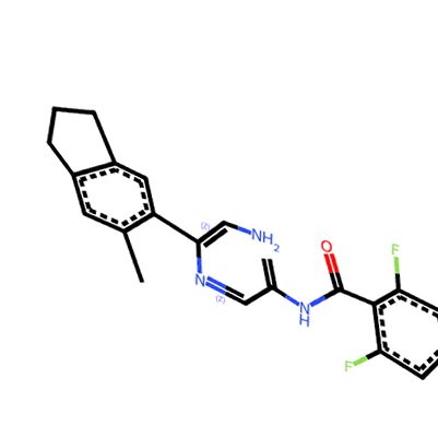 C=C(/C=N\C(=C/N)c1cc2c(cc1C)CCC2)NC(=O)c1c(F)cccc1F